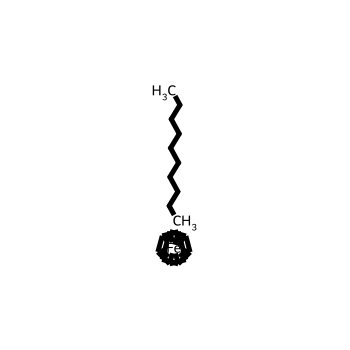 CCCCCCCCCC.[CH]12[CH]3[CH]4[CH]5[CH]1[Fe]23451678[CH]2[CH]1[CH]6[CH]7[CH]28